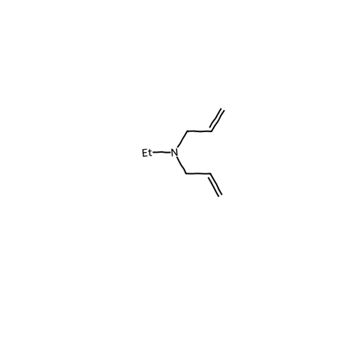 C=CCN(CC)CC=C